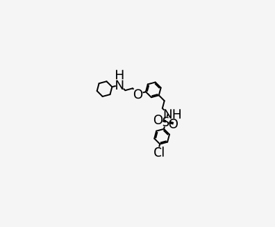 O=S(=O)(NCCc1cccc(OCCNC2CCCCC2)c1)c1ccc(Cl)cc1